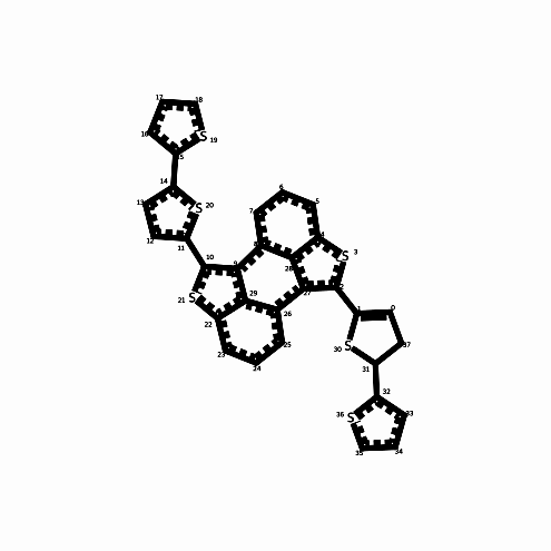 C1=C(c2sc3cccc4c5c(-c6ccc(-c7cccs7)s6)sc6cccc(c2c34)c65)SC(c2cccs2)C1